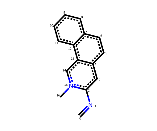 C=Nc1cc2ccc3ccccc3c2c[n+]1C